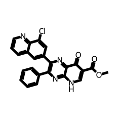 COC(=O)c1c[nH]c2nc(-c3ccccc3)c(-c3cc(Cl)c4ncccc4c3)nc2c1=O